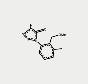 COCc1c(C)cccc1-n1nn[nH]c1=O